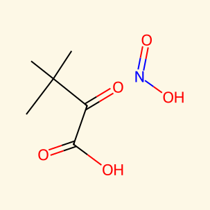 CC(C)(C)C(=O)C(=O)O.O=NO